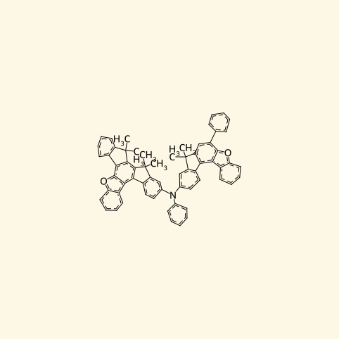 CC1(C)c2cc(N(c3ccccc3)c3ccc4c(c3)C(C)(C)c3c5c(c6oc7ccccc7c6c3-4)-c3ccccc3C5(C)C)ccc2-c2c1cc(-c1ccccc1)c1oc3ccccc3c21